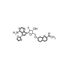 CNc1ccc2ccc(OC[C@H]3O[C@@H](n4cc(-c5ncco5)c5c(N)ncnc54)[C@@H](F)[C@@H]3O)cc2n1